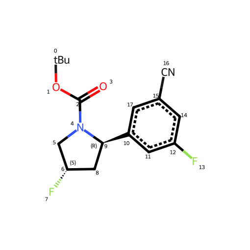 CC(C)(C)OC(=O)N1C[C@@H](F)C[C@@H]1c1cc(F)cc(C#N)c1